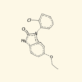 CCOc1ccc2[nH]c(=O)n(-c3ccccc3Cl)c2c1